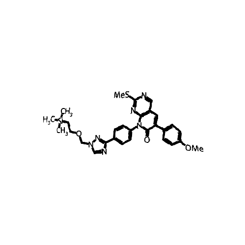 COc1ccc(-c2cc3cnc(SC)nc3n(-c3ccc(-c4ncn(COCC[Si](C)(C)C)n4)cc3)c2=O)cc1